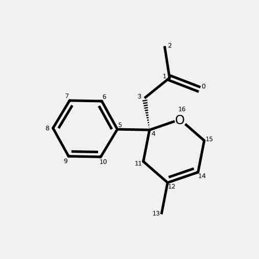 C=C(C)C[C@@]1(c2ccccc2)CC(C)=CCO1